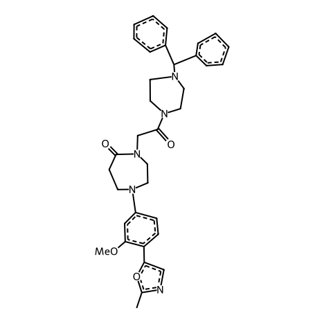 COc1cc(N2CCC(=O)N(CC(=O)N3CCN(C(c4ccccc4)c4ccccc4)CC3)CC2)ccc1-c1cnc(C)o1